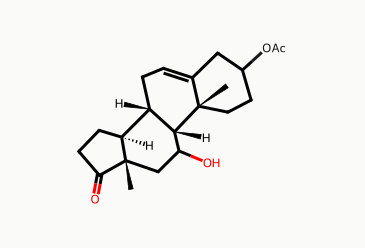 CC(=O)OC1CC[C@@]2(C)C(=CC[C@@H]3[C@H]2C(O)C[C@]2(C)C(=O)CC[C@@H]32)C1